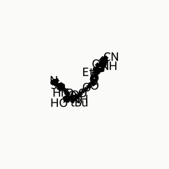 CCc1cc2c(cc1N1CCN(C(=O)CCOCCOCCC(=O)NC(C(=O)N3C[C@H](O)C[C@H]3C(=O)NCc3ccc(-c4scnc4C)cc3)C(C)(C)C)CC1)C(C)(C)c1[nH]c3cc(C#N)ccc3c1C2=O